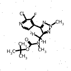 [2H]C([2H])(c1nn(C)nc1-c1ccnc(Cl)c1F)N(C)C(=O)OC(C)(C)C